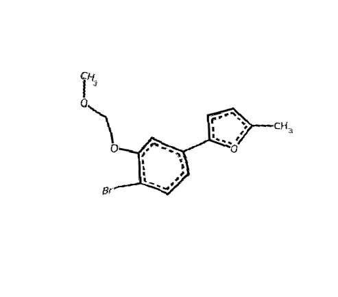 COCOc1cc(-c2ccc(C)o2)ccc1Br